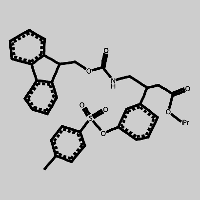 Cc1ccc(S(=O)(=O)Oc2cccc(C(CNC(=O)OCC3c4ccccc4-c4ccccc43)CC(=O)OC(C)C)c2)cc1